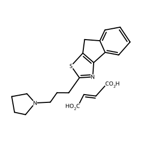 O=C(O)C=CC(=O)O.c1ccc2c(c1)Cc1sc(CCCN3CCCC3)nc1-2